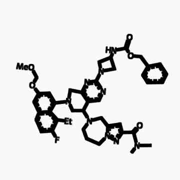 CCc1c(F)ccc2cc(OCOC)cc(N3Cc4nc(N5CC(NC(=O)OCc6ccccc6)C5)ncc4C(N4CCCn5nc(C(=O)N(C)C)cc5C4)C3)c12